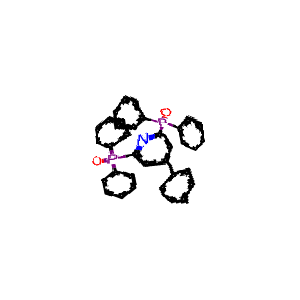 O=P(c1ccccc1)(c1ccccc1)c1cc(-c2ccccc2)cc(P(=O)(c2ccccc2)c2ccccc2)n1